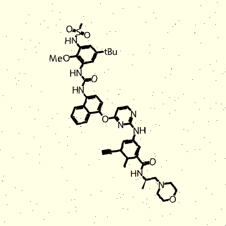 C#CC1C=C(Nc2nccc(Oc3ccc(NC(=O)Nc4cc(C(C)(C)C)cc(NS(C)(=O)=O)c4OC)c4ccccc34)n2)C=C(C(=O)N[C@H](C)CN2CCOCC2)C1C